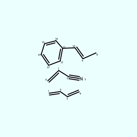 C=CC#N.C=CC=C.CC=Cc1ccccc1